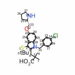 CC(C)(C)Sc1c(CC(C)(C)C(=O)O)n(Cc2ccc(Cl)cc2)c2ccc(OC[C@@H]3CCCN3)cc12